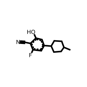 CC1CCC(c2cc(O)c(C#N)c(F)c2)CC1